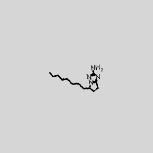 CCCCCCCCC1CCc2nc(N)nn21